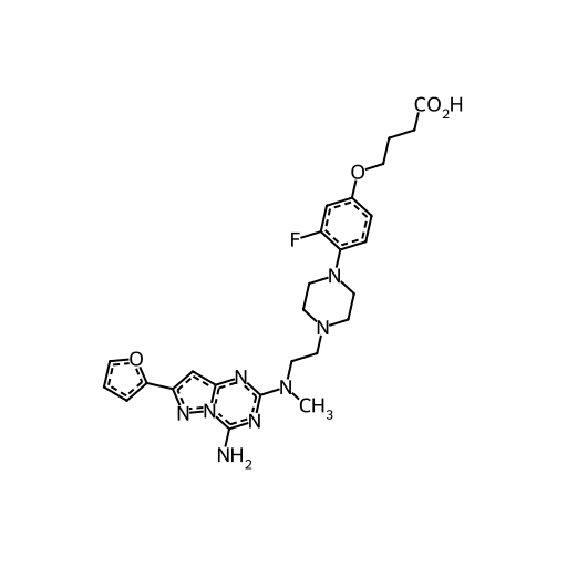 CN(CCN1CCN(c2ccc(OCCCC(=O)O)cc2F)CC1)c1nc(N)n2nc(-c3ccco3)cc2n1